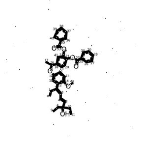 CCC(=CC=CC(O)(CC)CC)c1cc(OC(C)c2ccc(OC(=O)c3ccccc3)c(OC(=O)c3ccccc3)c2)ccc1OC